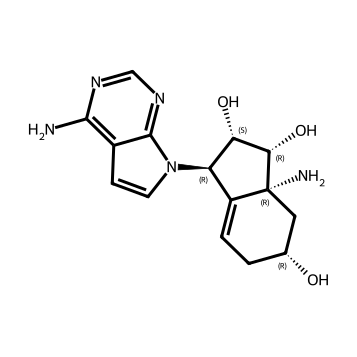 Nc1ncnc2c1ccn2[C@@H]1C2=CC[C@@H](O)C[C@]2(N)[C@@H](O)[C@H]1O